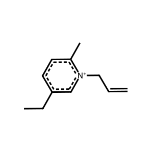 C=CC[n+]1cc(CC)ccc1C